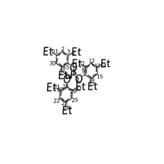 CCc1cc(CC)c(OP(Oc2c(CC)cc(CC)cc2CC)Oc2c(CC)cc(CC)cc2CC)c(CC)c1